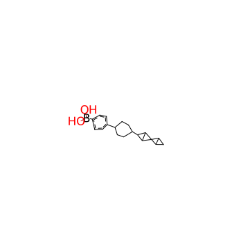 OB(O)c1ccc(C2CCC(C3C4C3C43C4CC43)CC2)cc1